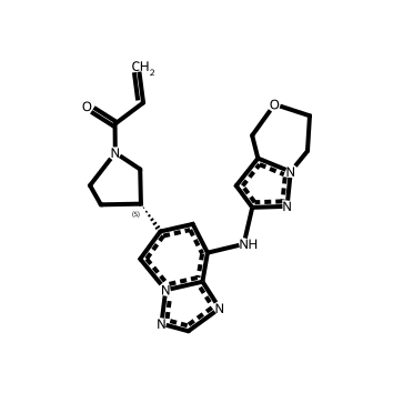 C=CC(=O)N1CC[C@@H](c2cc(Nc3cc4n(n3)CCOC4)c3ncnn3c2)C1